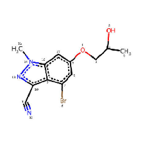 CC(O)COc1cc(Br)c2c(C#N)nn(C)c2c1